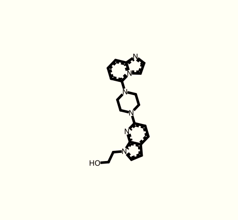 OCCn1ccc2ccc(N3CCN(c4cccc5nccn45)CC3)nc21